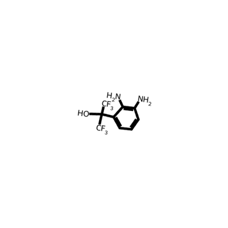 Nc1cccc(C(O)(C(F)(F)F)C(F)(F)F)c1N